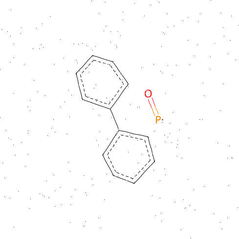 O=[P].c1ccc(-c2ccccc2)cc1